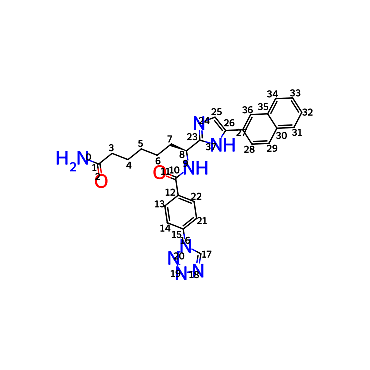 NC(=O)CCCCC[C@H](NC(=O)c1ccc(-n2cnnn2)cc1)c1ncc(-c2ccc3ccccc3c2)[nH]1